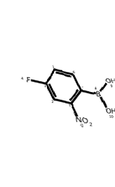 O=[N+]([O-])c1cc(F)ccc1B(O)O